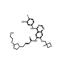 CC1(COc2cc3ncnc(Nc4ccc(F)c(Cl)c4)c3cc2NC(=O)/C=C/CN2CC[C@@H](OCCO)C2)COC1